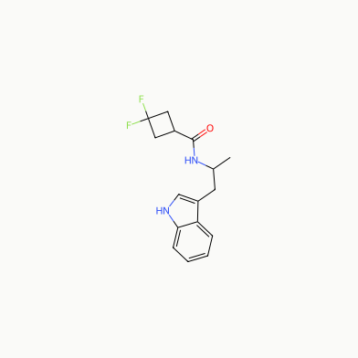 CC(Cc1c[nH]c2ccccc12)NC(=O)C1CC(F)(F)C1